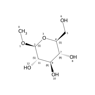 CO[C@H]1O[C@@H](CO)[C@H](O)[C@@H](O)[C@@H]1O